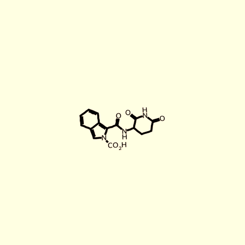 O=C1CCC(NC(=O)c2c3ccccc3cn2C(=O)O)C(=O)N1